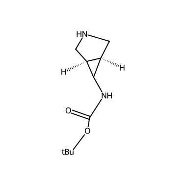 CC(C)(C)OC(=O)NC1[C@H]2CNC[C@@H]12